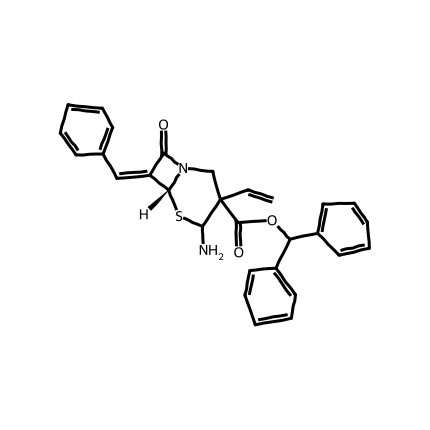 C=CC1(C(=O)OC(c2ccccc2)c2ccccc2)CN2C(=O)C(=Cc3ccccc3)[C@H]2SC1N